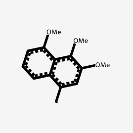 [CH2]c1cc(OC)c(OC)c2c(OC)cccc12